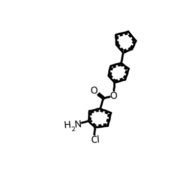 Nc1cc(C(=O)Oc2ccc(-c3ccccc3)cc2)ccc1Cl